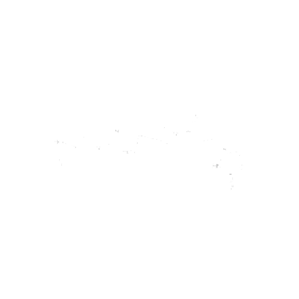 CC1(O)CN(c2ccc(C3CN(C(=O)CC[C@@H]4COC(=O)N4)C3)cn2)C1